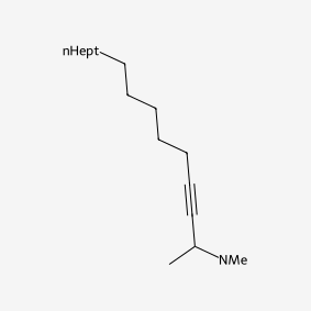 [CH2]CCCCCCCCCCCC#CC(C)NC